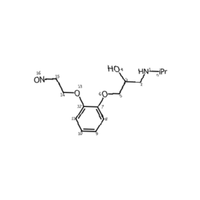 CC(C)NCC(O)COc1ccccc1OCCN=O